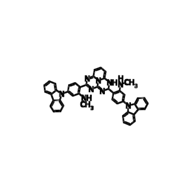 CNc1cc(-n2c3ccccc3c3ccccc32)ccc1C1=NC2=NC(c3ccc(-n4c5ccccc5c5ccccc54)cc3NC)NC3=CC=CC(=N1)N32